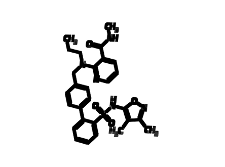 CCCN(Cc1ccc(-c2ccccc2S(=O)(=O)Nc2onc(C)c2C)cc1)c1ncccc1C(=O)NC